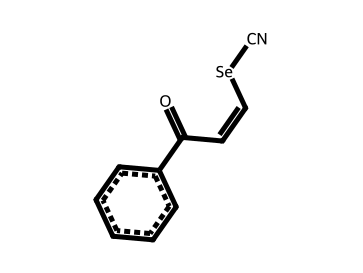 N#C[Se]/C=C\C(=O)c1ccccc1